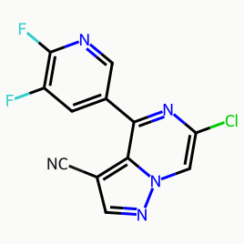 N#Cc1cnn2cc(Cl)nc(-c3cnc(F)c(F)c3)c12